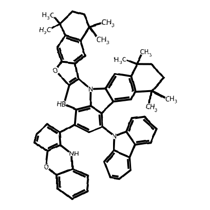 CC1(C)CCC(C)(C)c2cc3c4c(oc3cc21)Bc1c(-c2cccc3c2Nc2ccccc2O3)cc(-n2c3ccccc3c3ccccc32)c2c3cc5c(cc3n-4c12)C(C)(C)CCC5(C)C